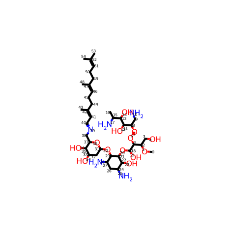 COC(CO)C(OOC(CN)C(O)C(O)C(C)N)C(O)OC1C(O)C(N)CC(N)C1OC1CC(O)C(O)C(CN=C/C=C(\C)CC/C=C(\C)CCC=C(C)C)O1